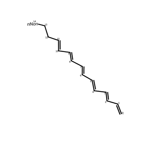 [CH]=CC=CC=CC=CC=CC=CCCCCCCCCCCC